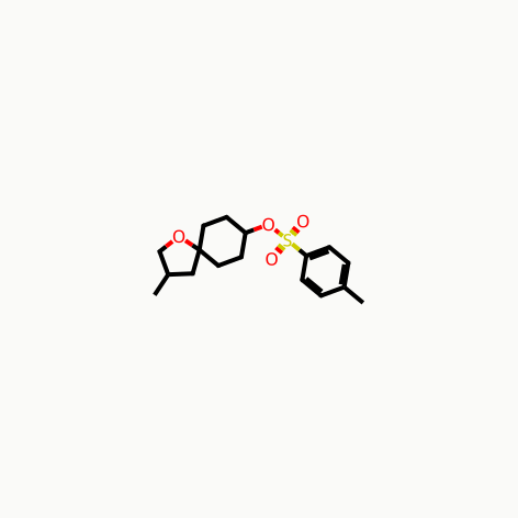 Cc1ccc(S(=O)(=O)OC2CCC3(CC2)CC(C)CO3)cc1